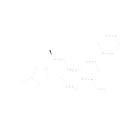 COc1cc(-c2ccc(C)cn2)cc2c(N[C@H](C)c3ccn(C)n3)ncnc12